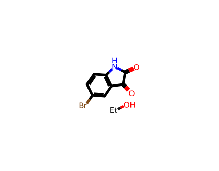 CCO.O=C1Nc2ccc(Br)cc2C1=O